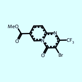 COC(=O)c1ccc2nc(C(F)(F)F)c(Br)c(=O)n2c1